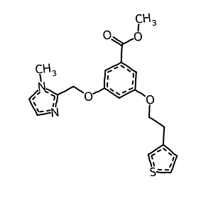 COC(=O)c1cc(OCCc2ccsc2)cc(OCc2nccn2C)c1